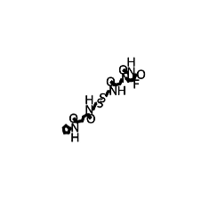 O=C(CCC(=O)NC1CCCC1)NCCSSCCNC(=O)CCn1cc(F)c(=O)[nH]c1=O